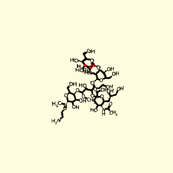 CO[C@@H](O[C@@H]1C(CO)O[C@@H](N(C)OCCN)C(O)C1O)C(O)C(O[C@]1(C(=O)O)CC(O)[C@@H](NC(C)=O)C(CC(O)CO)O1)[C@H](CCO)O[C@@H]1OC(CO)[C@H](O)C(O[C@@H]2OC(CO)[C@H](O)C(O)C2O)C1NC(C)=O